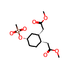 COC(=O)C[C@@H]1CC[C@H](OS(C)(=O)=O)C[C@@H]1CC(=O)OC